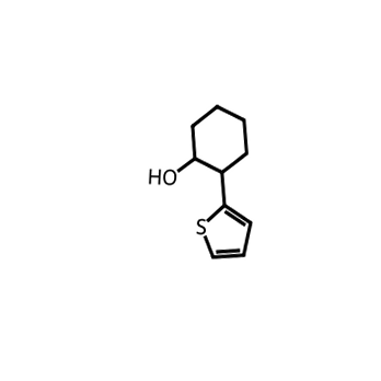 OC1CCCCC1c1cccs1